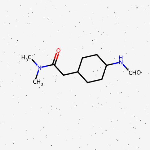 CN(C)C(=O)CC1CCC(N[C]=O)CC1